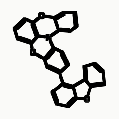 c1ccc2c(c1)Oc1cccc3c1N2c1ccc(-c2cccc4oc5ccccc5c24)cc1O3